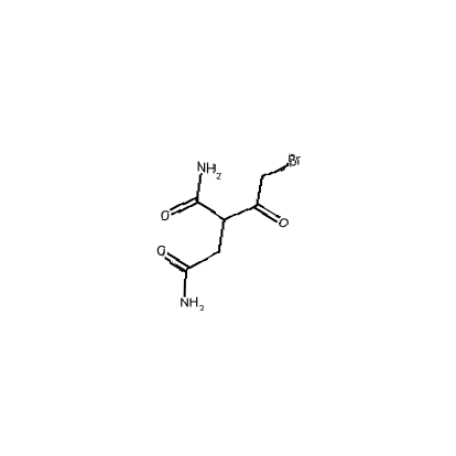 NC(=O)CC(C(N)=O)C(=O)CBr